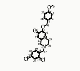 COc1ccc(COc2cn3c(cc2=O)CN(Cc2ccc(Cl)cc2Cl)CC3)cc1